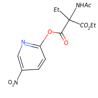 CCOC(=O)C(CC)(NC(C)=O)C(=O)Oc1ccc([N+](=O)[O-])cn1